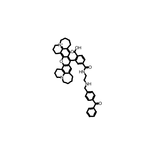 O=C(NCCNCc1ccc(C(=O)c2ccccc2)cc1)c1ccc(C(=O)O)c(C2=c3cc4c5c(c3Oc3c2cc2c6c3CCCN6CCCC2)CCC[N+]=5CCCC4)c1